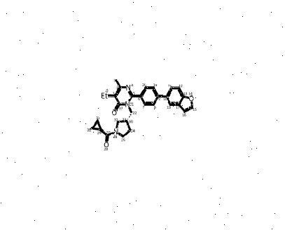 CCc1c(C)nc(-c2ccc(-c3ccc4occc4c3)cc2)n(C[C@@H]2CCN(C(=O)C3CC3)C2)c1=O